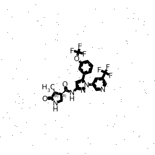 C[C@H]1C(=O)NC[C@@H]1C(=O)Nc1cc(-c2cccc(OC(F)(F)F)c2)n(-c2cncc(C(F)(F)F)c2)n1